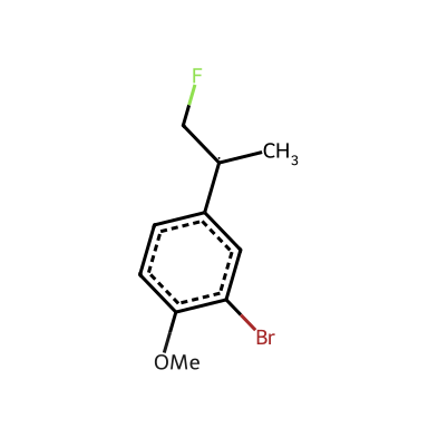 COc1ccc([C](C)CF)cc1Br